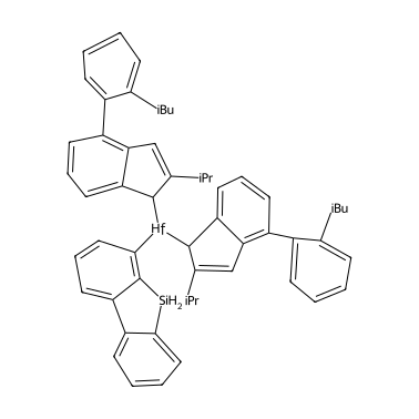 CCC(C)c1ccccc1-c1cccc2c1C=C(C(C)C)[CH]2[Hf]([c]1cccc2c1[SiH2]c1ccccc1-2)[CH]1C(C(C)C)=Cc2c(-c3ccccc3C(C)CC)cccc21